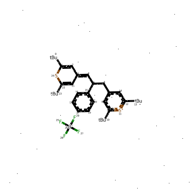 CC(C)(C)C1=CC(=CC(Cc2cc(C(C)(C)C)[s+]c(C(C)(C)C)c2)c2ccccc2)C=C(C(C)(C)C)S1.F[B-](F)(F)F